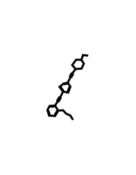 CCCCc1ccccc1C#Cc1ccc(C#CC2CCC(CC)CC2)cc1